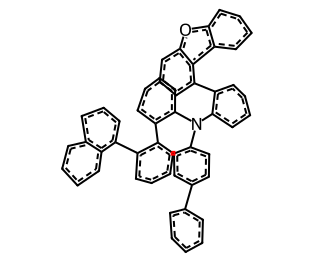 c1ccc(-c2ccc(N(c3ccccc3-c3ccccc3-c3cccc4ccccc34)c3ccccc3-c3cccc4oc5ccccc5c34)cc2)cc1